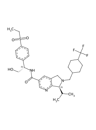 CCS(=O)(=O)c1ccc([C@@H](CO)NC(=O)c2cnc3c(c2)CN(CC2CCC(C(F)(F)F)CC2)[C@H]3C(C)C)cc1